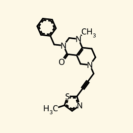 Cc1cnc(C#CCN2CCC3=C(C2)C(=O)N(Cc2ccccc2)CN3C)s1